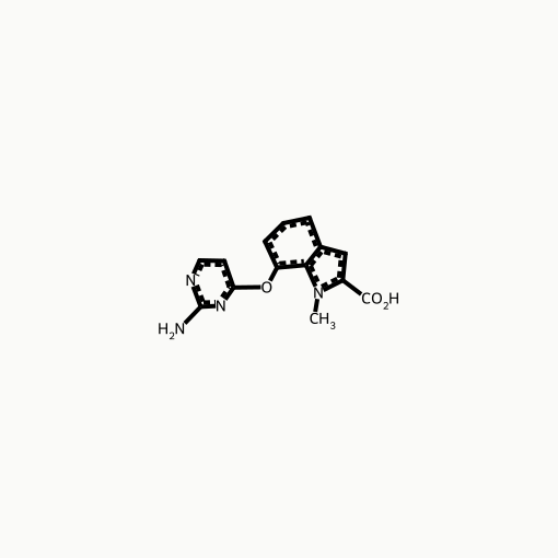 Cn1c(C(=O)O)cc2cccc(Oc3ccnc(N)n3)c21